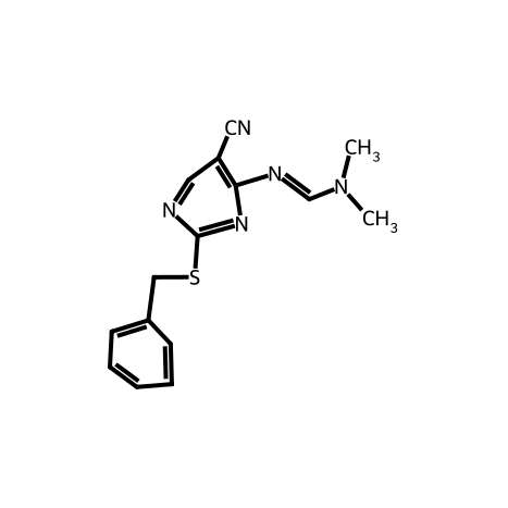 CN(C)C=Nc1nc(SCc2ccccc2)ncc1C#N